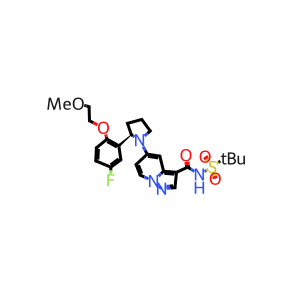 COCCOc1ccc(F)cc1[C@H]1CCCN1c1ccn2ncc(C(=O)NS(=O)(=O)C(C)(C)C)c2c1